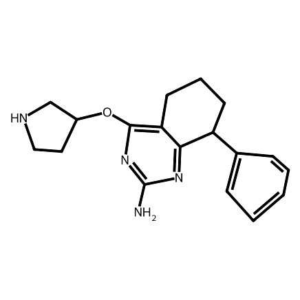 Nc1nc(OC2CCNC2)c2c(n1)C(c1ccccc1)CCC2